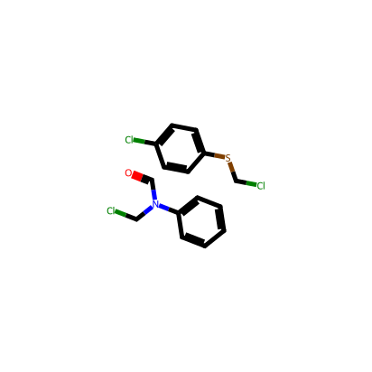 ClCSc1ccc(Cl)cc1.O=CN(CCl)c1ccccc1